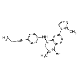 CC(=O)N1c2ccc(-c3ccnn3C)cc2[C@H](Nc2ccc(C#CCN)cc2)C[C@@H]1C